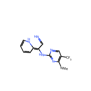 CNc1nc(N/C(C=N)=C2\C=CC=CN2)ncc1C(F)(F)F